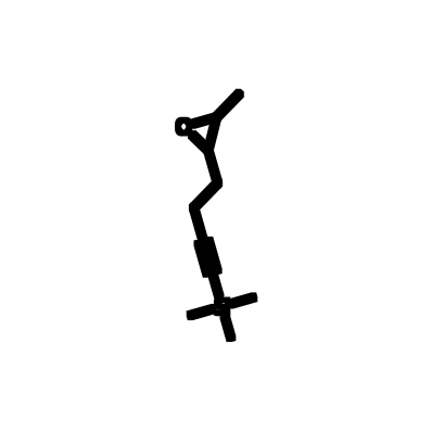 CC1OC1CCC#C[Si](C)(C)C